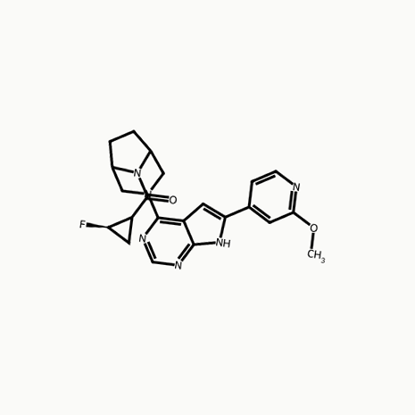 COc1cc(-c2cc3c(N4CC5CCC(C4)N5C(=O)C4C[C@H]4F)ncnc3[nH]2)ccn1